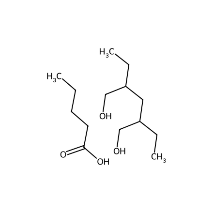 CCC(CO)CC(CC)CO.CCCCC(=O)O